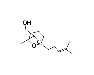 CC(C)=CCCC12CCC(CO)(CO1)C(C)C2